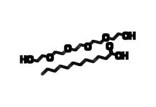 CCCCCCCCCCCC(=O)O.OCCOCCOCCOCCOCCO